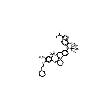 Cc1cnc([C@@H](c2ccn3c(C(F)F)nnc3c2C)C(C)(C)C(=O)O)cc1CN1CC2(CCOCC2)Oc2nc(OCCN3CCCCC3)c(C)cc2S1(=O)=O